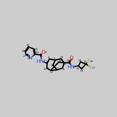 O=C(NC1CC2CC3CC(C(=O)NC4CC(F)(F)C4)(C2)CC3C1)c1ccccn1